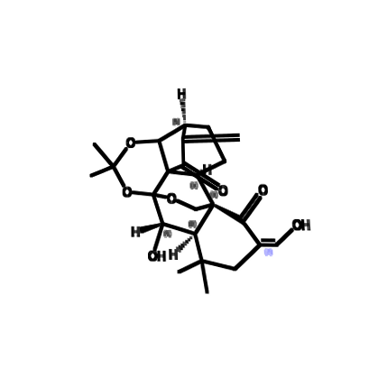 C=C1C(=O)C23C4OC(C)(C)OC25OC[C@]2(C(=O)/C(=C\O)CC(C)(C)[C@H]2[C@@H]5O)[C@@H]3CC[C@@H]14